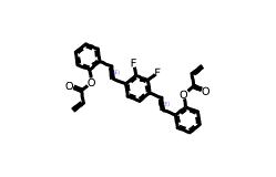 C=CC(=O)Oc1ccccc1/C=C/c1ccc(/C=C/c2ccccc2OC(=O)C=C)c(F)c1F